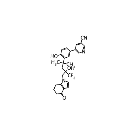 CC(C)(CC(O)(Cn1ccc2c1CCCC2=O)C(F)(F)F)c1cc(-c2cncc(C#N)c2)ccc1O